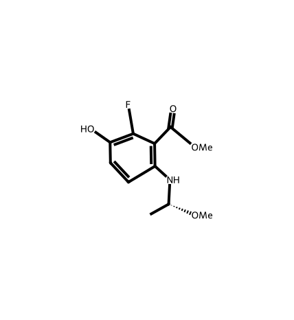 COC(=O)c1c(N[C@@H](C)OC)ccc(O)c1F